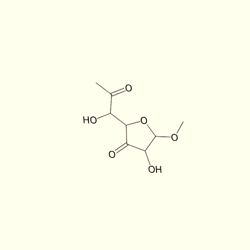 COC1OC(C(O)C(C)=O)C(=O)C1O